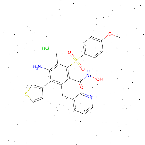 COc1ccc(S(=O)(=O)c2c(C)c(N)c(-c3ccsc3)c(Cc3cccnc3)c2C(=O)NO)cc1.Cl